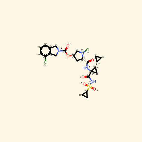 O=C(N[C@]1(C(=O)NS(=O)(=O)C2CC2)C[C@H]1C1CC1)[C@@H]1C[C@@H](OC(=O)N2Cc3cccc(Cl)c3C2)CN1Cl